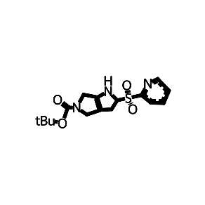 CC(C)(C)OC(=O)N1CC2=C(C1)NC(S(=O)(=O)c1ccccn1)C2